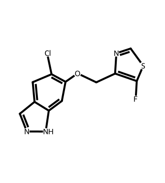 Fc1scnc1COc1cc2[nH]ncc2cc1Cl